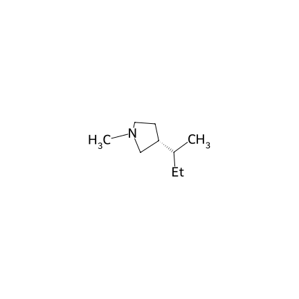 CCC(C)[C@H]1CCN(C)C1